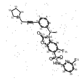 C[C@H](c1cccc(C#CCN2CCCC2)c1)n1c(=O)oc2cc(S(=O)(=O)Nc3cccc(F)n3)c(F)cc21